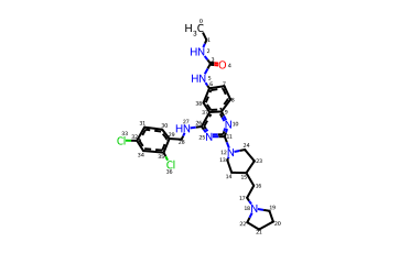 CCNC(=O)Nc1ccc2nc(N3CCC(CCN4CCCC4)CC3)nc(NCc3ccc(Cl)cc3Cl)c2c1